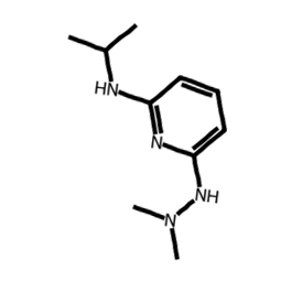 CC(C)Nc1cccc(NN(C)C)n1